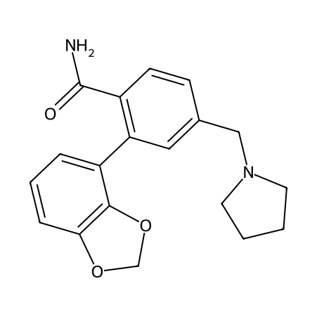 NC(=O)c1ccc(CN2CCCC2)cc1-c1cccc2c1OCO2